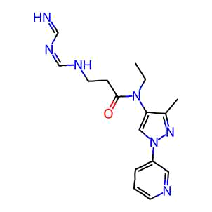 CCN(C(=O)CCN/C=N\C=N)c1cn(-c2cccnc2)nc1C